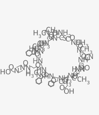 CC(C)C[C@@H]1NC(=O)[C@H](CC(N)=O)NC(=O)[C@H](Cc2cccnc2)N(C)C(=O)[C@@H](C)NC(=O)CSC[C@@H](C(N)=O)NC(=O)[C@H](CC(=O)N(C)C)NC(=O)[C@H]([C@@H](C)O)NC(=O)[C@H](Cc2cn(C)c3ccccc23)NC(=O)[C@H](CCCCNC(=O)N2CCN(CC(=O)O)CC2)NC(=O)[C@H](Cc2cn(C)c3ccccc23)NC(=O)[C@H](Cc2ccccc2)N(C)C(=O)[C@H](CCCC(=O)O)NC1=O